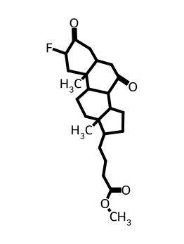 COC(=O)CCCC1CCC2C3C(=O)CC4CC(=O)C(F)CC4(C)C3CCC12C